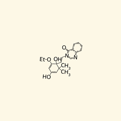 CCOC1=CC(O)=CC(C)(C)C1(O)CCn1cnc2ccccc2c1=O